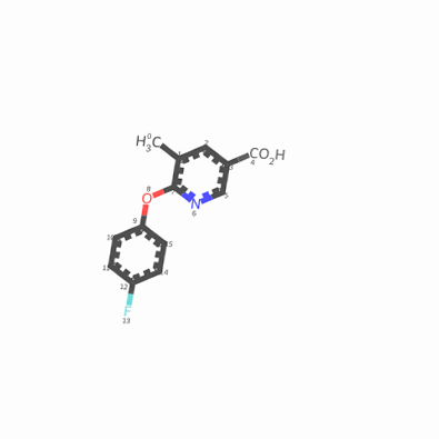 Cc1cc(C(=O)O)cnc1Oc1ccc(F)cc1